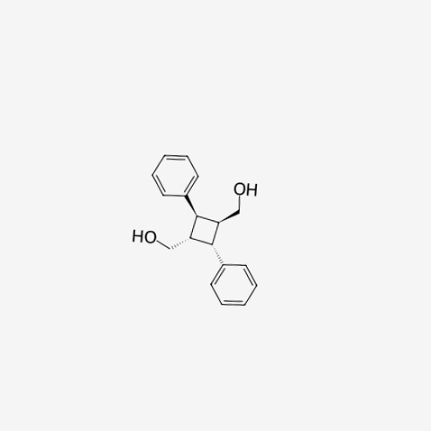 OC[C@H]1[C@H](c2ccccc2)[C@H](CO)[C@H]1c1ccccc1